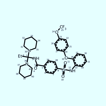 CCC(NC(=O)c1ccc(S(=O)(=O)Nc2ccccc2Oc2ccc(OC(F)(F)F)cc2)cc1)(N1CCCCC1)N1CCCCC1